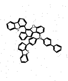 c1ccc(-c2ccc(N(c3ccc(-c4cccc5c4sc4ccccc45)cc3)c3cccc4oc5c(-c6cccc7c6sc6ccccc67)c6ccccc6cc5c34)cc2)cc1